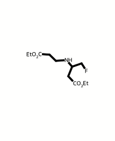 CCOC(=O)CCNC(CF)CC(=O)OCC